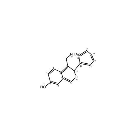 CC(=O)NCC1=c2ccc(O)cc2=COC1c1ccccc1